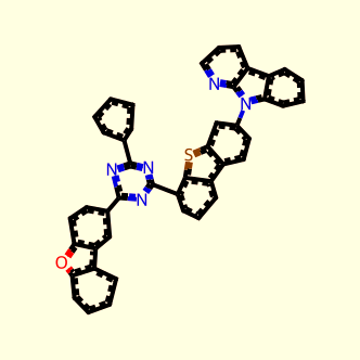 c1ccc(-c2nc(-c3ccc4oc5ccccc5c4c3)nc(-c3cccc4c3sc3cc(-n5c6ccccc6c6cccnc65)ccc34)n2)cc1